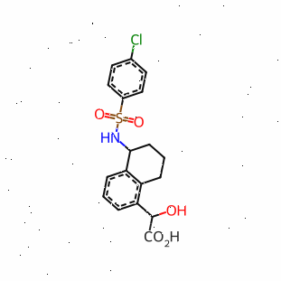 O=C(O)C(O)c1cccc2c1CCCC2NS(=O)(=O)c1ccc(Cl)cc1